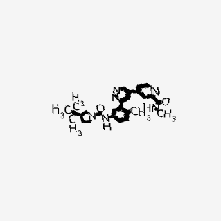 CNC(=O)c1cc(-c2cnnc(-c3cc(NC(=O)N4CCC(C(C)(C)C)C4)ccc3C)c2)ccn1